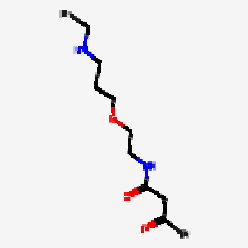 CC(C)CNCCCOCCNC(=O)CC(=O)C(C)C